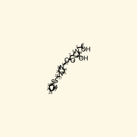 CC(O)CN(CCCC(=O)OCCN1CCN(CCSSc2ccccn2)CC1)CC(C)O